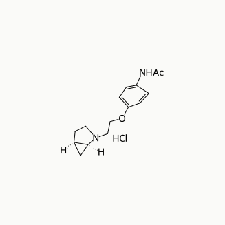 CC(=O)Nc1ccc(OCCN2CC[C@@H]3C[C@@H]32)cc1.Cl